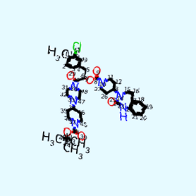 Cc1ccc(C[C@@H](OC(=O)N2CCC(N3CCc4ccccc4NC3=O)CC2)C(=O)N2CCN(C3CCN(C(=O)OC(C)(C)C)CC3)CC2)cc1Cl